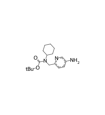 CC(C)(C)OC(=O)N(Cc1ccc(N)cn1)C1CCCCC1